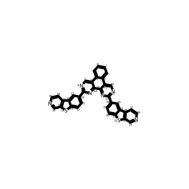 c1ccc2c(c1)c1cnc(-c3ccc4sc5cnccc5c4c3)nc1c1nc(-c3ccc4sc5cnccc5c4c3)ncc21